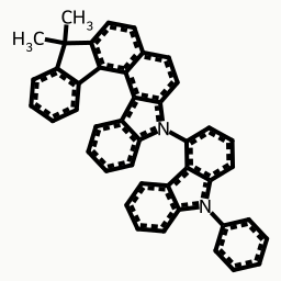 CC1(C)c2ccccc2-c2c1ccc1ccc3c(c4ccccc4n3-c3cccc4c3c3ccccc3n4-c3ccccc3)c21